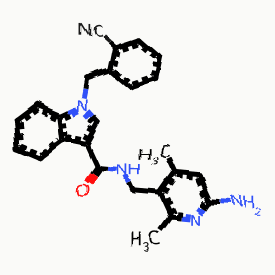 Cc1cc(N)nc(C)c1CNC(=O)c1cn(Cc2ccccc2C#N)c2ccccc12